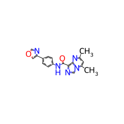 Cc1cc(C)n2cnc(C(=O)Nc3ccc(-c4cocn4)cc3)c2n1